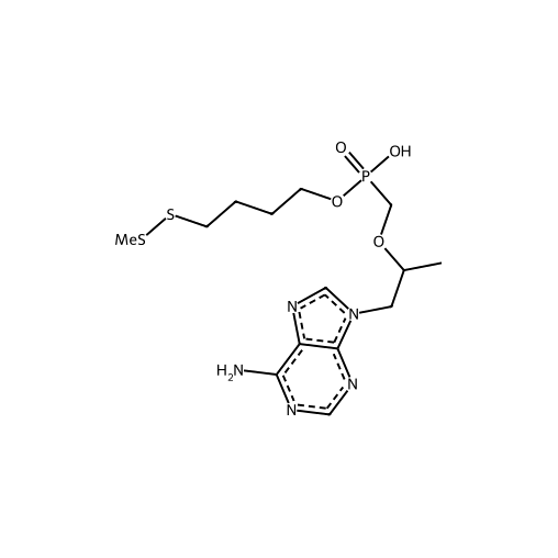 CSSCCCCOP(=O)(O)COC(C)Cn1cnc2c(N)ncnc21